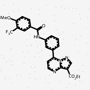 CCOC(=O)c1cnn2c(-c3cccc(NC(=O)c4ccc(OC)c(C(F)(F)F)c4)c3)ccnc12